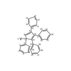 [V][C]1(c2ccccc2)C=C(c2ccccc2)C(c2ccccc2)=C1c1ccccc1